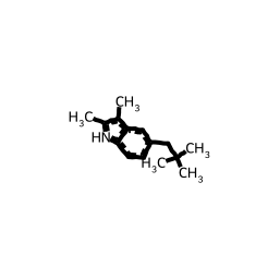 Cc1[nH]c2ccc(CC(C)(C)C)cc2c1C